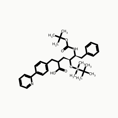 CC(C)(C)OC(=O)N[C@@H](Cc1ccccc1)[C@H](CC(Cc1ccc(-c2ccccn2)cc1)C(=O)O)O[Si](C)(C)C(C)(C)C